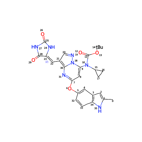 Cc1cc2cc(Oc3cc(N(C(=O)OC(C)(C)C)C4CC4)n4ncc(/C=C5\NC(=O)NC5=O)c4n3)ccc2[nH]1